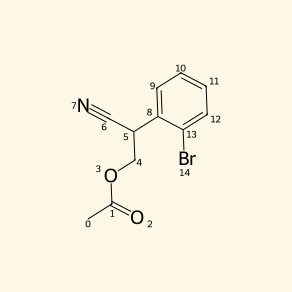 CC(=O)OCC(C#N)c1ccccc1Br